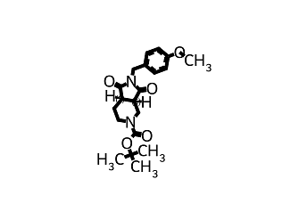 COc1ccc(CN2C(=O)[C@H]3CCN(C(=O)OC(C)(C)C)C[C@H]3C2=O)cc1